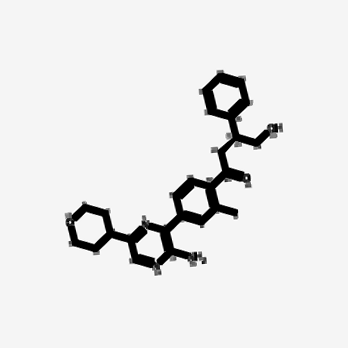 Cc1cc(-c2nc(C3CCOCC3)cnc2N)ccc1C(=O)C[C@H](CO)c1ccccc1